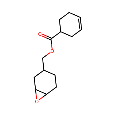 O=C(OCC1CCC2OC2C1)C1CC=CCC1